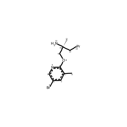 Cc1cc(Br)cnc1OC[C@@](C)(N)CC(C)C